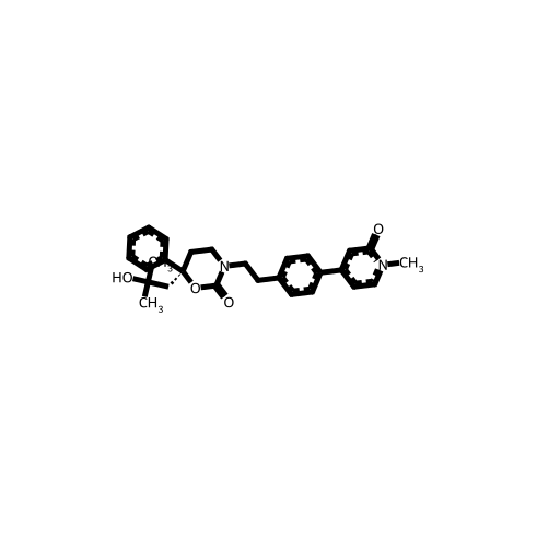 Cn1ccc(-c2ccc(CCN3CC[C@](CC(C)(C)O)(c4ccccc4)OC3=O)cc2)cc1=O